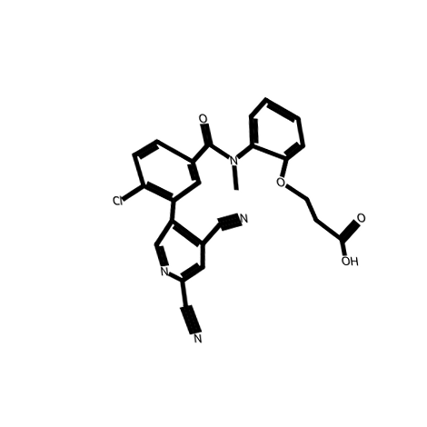 CN(C(=O)c1ccc(Cl)c(-c2cnc(C#N)cc2C#N)c1)c1ccccc1OCCC(=O)O